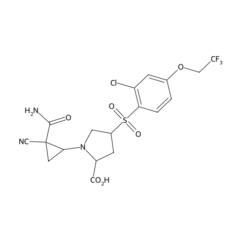 N#CC1(C(N)=O)CC1N1CC(S(=O)(=O)c2ccc(OCC(F)(F)F)cc2Cl)CC1C(=O)O